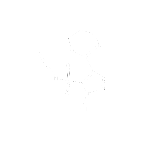 Cn1ncc(C2=NOCCO2)c1S(=O)(=O)N=C=O